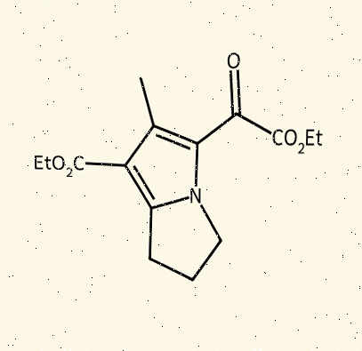 CCOC(=O)C(=O)c1c(C)c(C(=O)OCC)c2n1CCC2